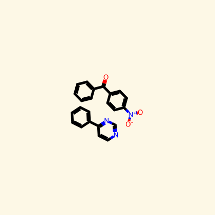 O=C(c1ccccc1)c1ccc([N+](=O)[O-])cc1.c1ccc(-c2ccncn2)cc1